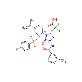 CC(C)N(C)[C@@H]1CC[C@H](N2CC[C@H](NC(=O)c3cccc(C(F)(F)F)c3)C2=O)[C@H](CS(=O)(=O)c2ccc(F)cc2)C1.O=C(O)C(F)(F)F